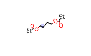 CCC(=O)O/C=C/CCOC(=O)CC